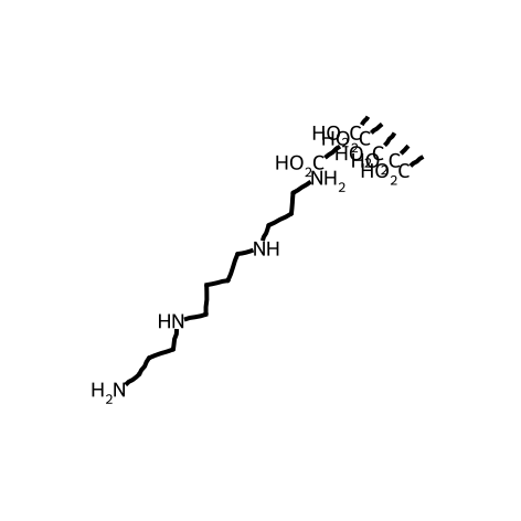 CC(=O)O.CC(=O)O.CC(=O)O.CC(=O)O.CC(=O)O.CC(=O)O.NCCCNCCCCNCCCN